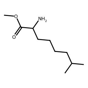 COC(=O)C(N)CCCCC(C)C